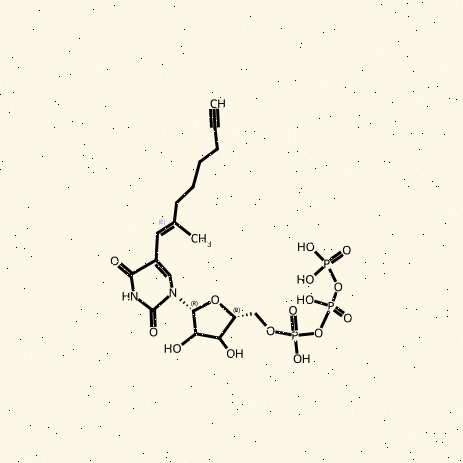 C#CCCCC/C(C)=C/c1cn([C@@H]2O[C@H](COP(=O)(O)OP(=O)(O)OP(=O)(O)O)C(O)C2O)c(=O)[nH]c1=O